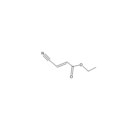 CCOC(=O)C=CC#N